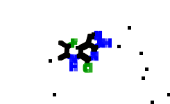 CC(Nc1cc2cn[nH]c2nc1Cl)[C@@H](C)F